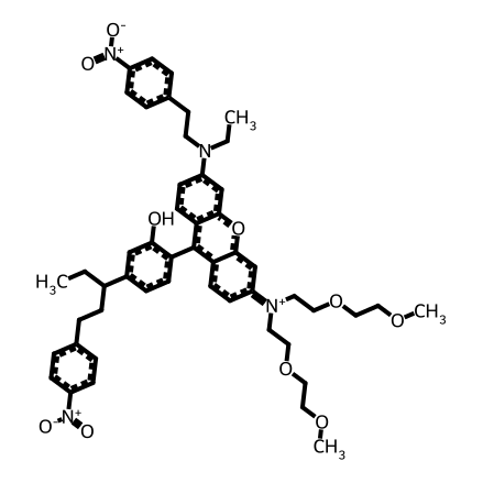 CCC(CCc1ccc([N+](=O)[O-])cc1)c1ccc(-c2c3ccc(=[N+](CCOCCOC)CCOCCOC)cc-3oc3cc(N(CC)CCc4ccc([N+](=O)[O-])cc4)ccc23)c(O)c1